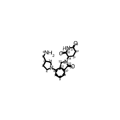 NCC1CCN(c2cccc3c2CN(C2CCC(=O)NC2=O)C3=O)C1